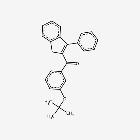 CC(C)(C)Oc1cccc(C(=O)C2=C(c3ccccc3)c3ccccc3C2)c1